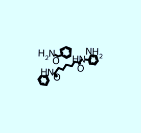 NC(=O)c1ccccc1.Nc1ccccc1NC(=O)CCCCCC(=O)Nc1ccccc1